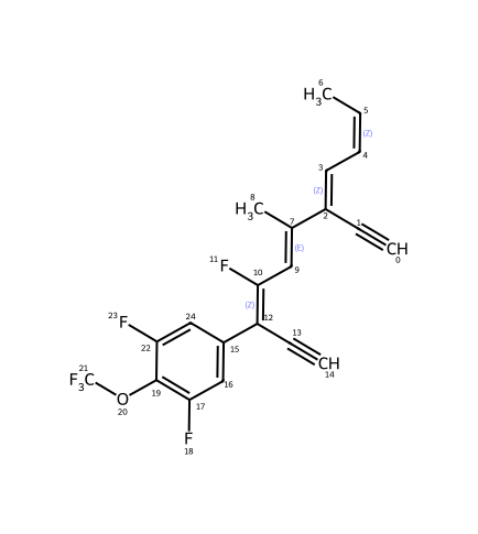 C#CC(=C\C=C/C)/C(C)=C/C(F)=C(\C#C)c1cc(F)c(OC(F)(F)F)c(F)c1